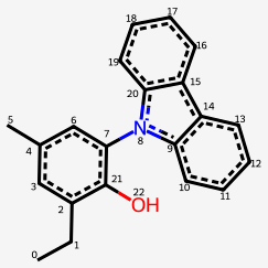 CCc1cc(C)cc(-n2c3ccccc3c3ccccc32)c1O